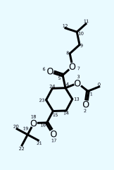 CC(=O)OC1(C(=O)OCCC(C)C)CCC(C(=O)OC(C)(C)C)CC1